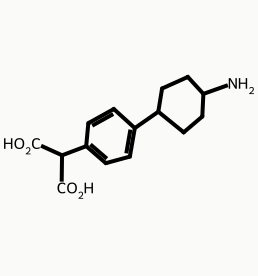 NC1CCC(c2ccc(C(C(=O)O)C(=O)O)cc2)CC1